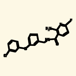 Nc1nc(F)ccc1C(=O)NCc1cccc(Oc2cccc(Cl)c2)c1